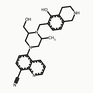 CC1CN(c2ccc(C#N)c3ncccc23)CC(CO)N1Cc1ccc2c(c1O)CCNC2